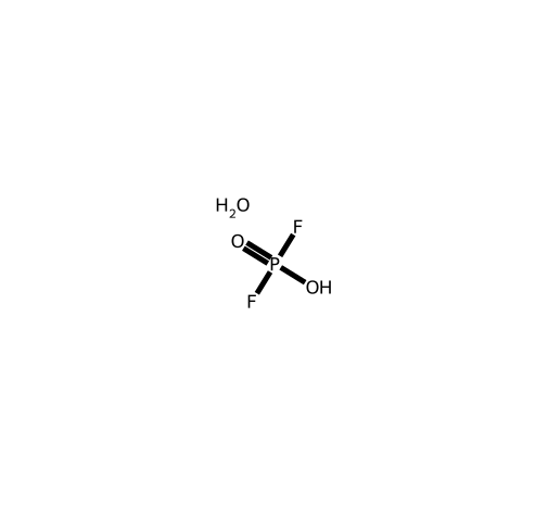 O.O=P(O)(F)F